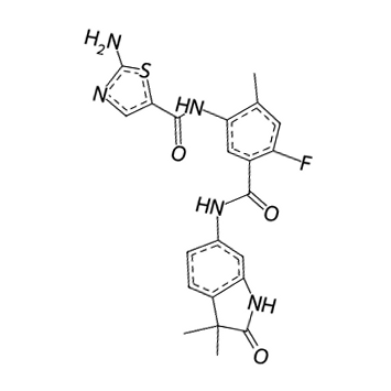 Cc1cc(F)c(C(=O)Nc2ccc3c(c2)NC(=O)C3(C)C)cc1NC(=O)c1cnc(N)s1